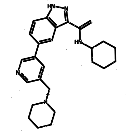 C=C(NC1CCCCC1)c1n[nH]c2ccc(-c3cncc(CN4CCCCC4)c3)cc12